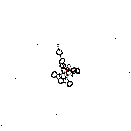 Fc1ccc(-c2ccc(-c3cc(-n4c5ccccc5c5ccc6c7ccccc7n(-c7nc(-c8ccccc8)nc(-c8ccccc8)n7)c6c54)cc4c3oc3ccccc34)cc2)cc1